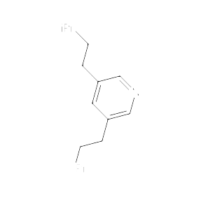 CC(C)CCc1cncc(CCC(C)C)c1